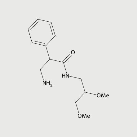 COCC(CNC(=O)C(CN)c1ccccc1)OC